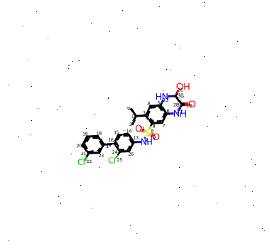 CC(C)c1cc2c(cc1S(=O)(=O)Nc1ccc(-c3cccc(Cl)c3)c(Cl)c1)NC(=O)C(O)N2